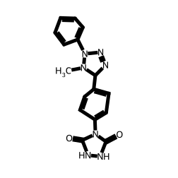 CN1C(c2ccc(-n3c(=O)[nH][nH]c3=O)cc2)N=NN1c1ccccc1